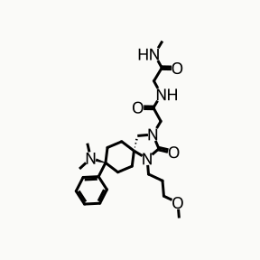 CNC(=O)CNC(=O)CN1C[C@]2(CC[C@](c3ccccc3)(N(C)C)CC2)N(CCCOC)C1=O